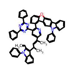 C=Cc1c(C(C)/C=C(\C)c2cnc(-c3cccc4oc5cc6c7ccccc7n(-c7ccccc7)c6cc5c34)c(-c3nc(-c4ccccc4)nc(-c4ccccc4)n3)c2)c2ccccc2n1-c1ccccc1